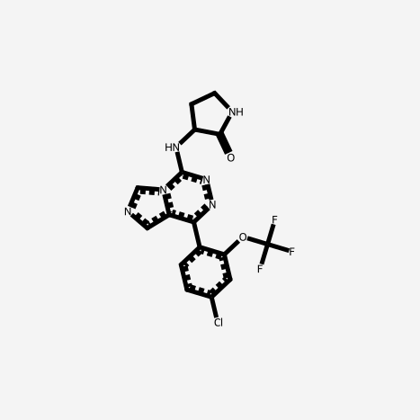 O=C1NCCC1Nc1nnc(-c2ccc(Cl)cc2OC(F)(F)F)c2cncn12